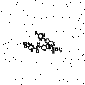 CNC1=NC2(c3cc(NC(=O)c4cnc(OC)cn4)ccc3F)CN(c3ncc(F)cn3)CC2CS1